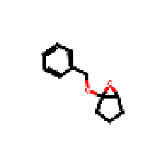 c1ccc(COC23CCCC2O3)cc1